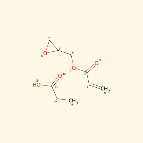 C=CC(=O)OCC1CO1.CCC(=O)O